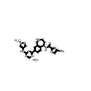 Cl.Cn1cc(Nc2ncnc(-c3ccc4c(c3)CNCC[C@H]4NC(=O)c3nc(C(C)(C)C)co3)n2)cn1